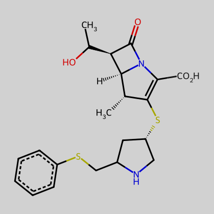 CC(O)[C@H]1C(=O)N2C(C(=O)O)=C(S[C@@H]3CNC(CSc4ccccc4)C3)[C@H](C)[C@@H]12